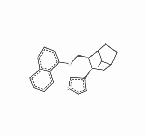 CC1C2CCC1[C@H](COc1cccc3ccccc13)[C@H](c1ccsc1)C2